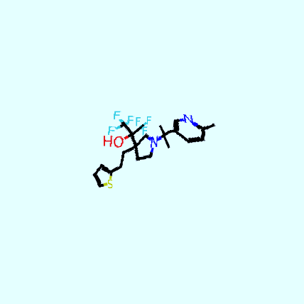 Cc1ccc(C(C)(C)N2CCC(CCc3cccs3)(C(O)(C(F)(F)F)C(F)(F)F)C2)cn1